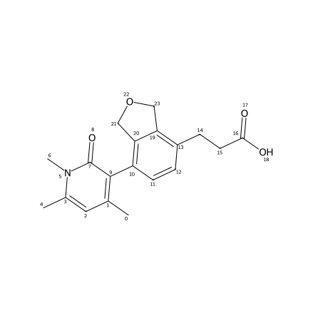 Cc1cc(C)n(C)c(=O)c1-c1ccc(CCC(=O)O)c2c1COC2